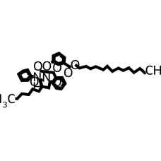 CCCCCCCCCCCCCCOC(=O)c1cccc(OC(C(=O)Nc2ccccc2)(C(=O)c2ccccc2)N2C(=O)CC(CCCCCC)C2=O)c1